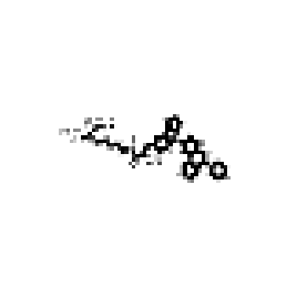 N#C/C(=C\c1ccc2c(c1)C1CCCC1N2c1ccc(C=C(c2ccccc2)c2ccccc2)cc1)C(=O)NCCCCCN(CC(=O)O)CC(=O)O